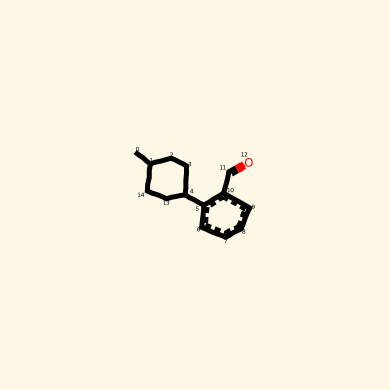 CC1CCC(c2ccccc2C=O)CC1